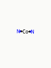 N#[C][Co][C]#N